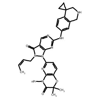 C/C=C\Cn1c(=O)c2cnc(Nc3ccc4c(c3)CNCC43CC3)nc2n1-c1ccc2c(n1)N(CCC)C(=O)C(C)(C)O2